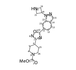 COC(=O)N1CCC(c2noc(-c3ccc4cnn(C5CNC5)c4c3)n2)CC1